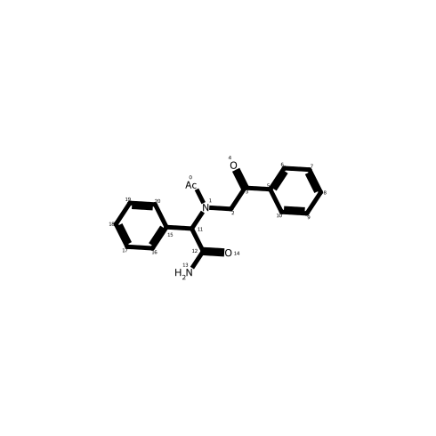 CC(=O)N(CC(=O)c1ccccc1)C(C(N)=O)c1ccccc1